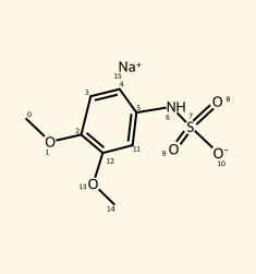 COc1ccc(NS(=O)(=O)[O-])cc1OC.[Na+]